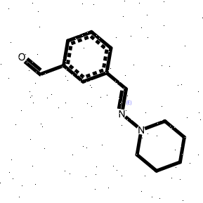 O=Cc1cccc(/C=N/N2CCCCC2)c1